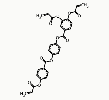 C=CC(=O)Oc1ccc(C(=O)Oc2ccc(OC(=O)c3ccc(OC(=O)C=C)c(OC(=O)C=C)c3)cc2)cc1